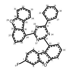 Fc1ccc2c(c1)oc1cccc(-c3nc(-c4ccccc4)nc(-c4cccc5oc6ccccc6c45)n3)c12